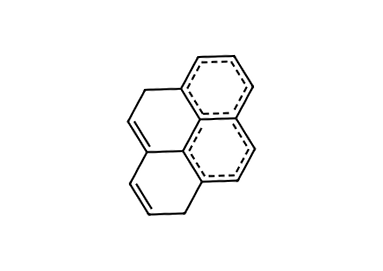 C1=CC2=CCc3cccc4ccc(c2c34)C1